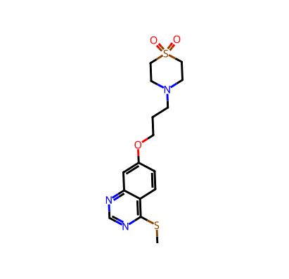 CSc1ncnc2cc(OCCCN3CCS(=O)(=O)CC3)ccc12